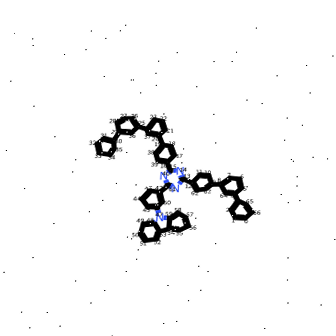 c1ccc(-c2cccc(-c3ccc(-c4nc(-c5ccc(-c6cccc(-c7cccc(-c8ccccc8)c7)c6)cc5)nc(-c5cccc(-n6c7ccccc7c7ccccc76)c5)n4)cc3)c2)cc1